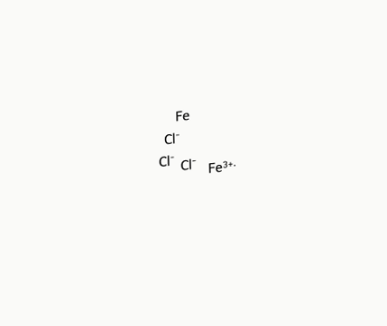 [Cl-].[Cl-].[Cl-].[Fe+3].[Fe]